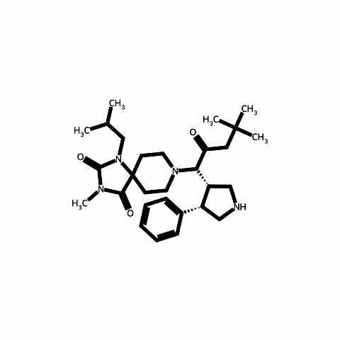 CC(C)CN1C(=O)N(C)C(=O)C12CCN(C(C(=O)CC(C)(C)C)[C@@H]1CNC[C@@H]1c1ccccc1)CC2